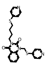 O=c1c2ccccc2n(CSc2ccncc2)c(=O)n1CCCCSc1ccncc1